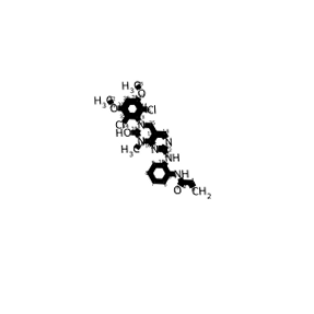 C=CC(=O)NC1CCCCC1Nc1ncc2c(n1)N(C)C(O)N(c1c(Cl)c(OC)cc(OC)c1Cl)C2